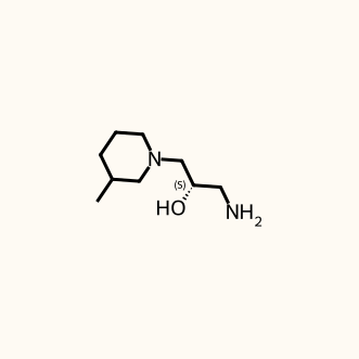 CC1CCCN(C[C@@H](O)CN)C1